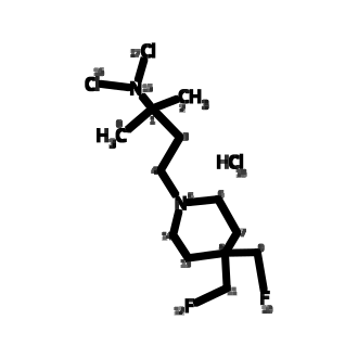 CC(C)(CCN1CCC(CF)(CF)CC1)N(Cl)Cl.Cl